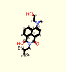 CCCCC(CC)CN1C(=O)c2ccc(N(C)CCO)c3cccc(c23)C1O